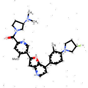 COc1cc(C(=O)N2CC[C@@H](N(C)C)C2)ncc1-c1cc2nccc(-c3ccc(N4CC[C@@H](F)C4)c(C#N)c3)c2o1